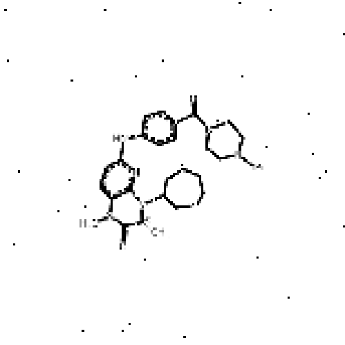 CC(C)N1CCN(C(=O)c2ccc(Nc3ccc4c(n3)N(C3CCCCCC3)[C@H](C)C(=O)N4C)cc2)CC1